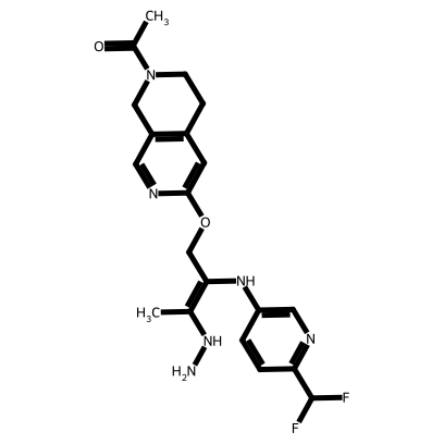 CC(=O)N1CCc2cc(OC/C(Nc3ccc(C(F)F)nc3)=C(\C)NN)ncc2C1